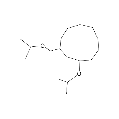 CC(C)OCC1CCCCCCCC(OC(C)C)C1